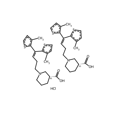 Cc1ccsc1C(=CCCN1CCC[C@@H](C(=O)O)C1)c1sccc1C.Cc1ccsc1C(=CCCN1CCC[C@@H](C(=O)O)C1)c1sccc1C.Cl